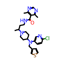 Cc1ncnc(C)c1C(=O)NCCC(C)N1CCC(N(Cc2ccsc2)c2ccc(Cl)nc2)CC1